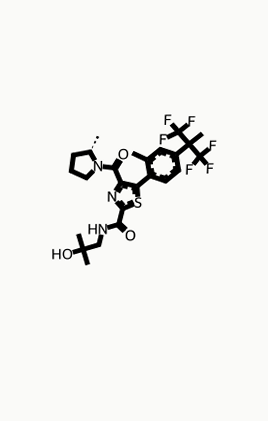 Cc1cc(C(C)(C(F)(F)F)C(F)(F)F)ccc1-c1sc(C(=O)NCC(C)(C)O)nc1C(=O)N1CCC[C@@H]1C